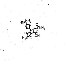 CN1C(=O)C2C(C1=O)C(c1ccc(C(=N)N)cc1)N(CCC(N)=O)C2C(=O)O